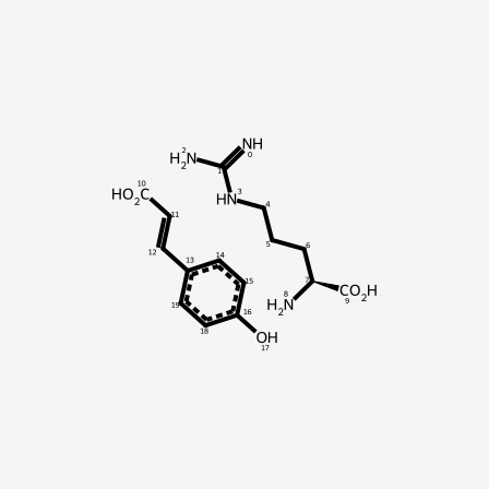 N=C(N)NCCC[C@H](N)C(=O)O.O=C(O)C=Cc1ccc(O)cc1